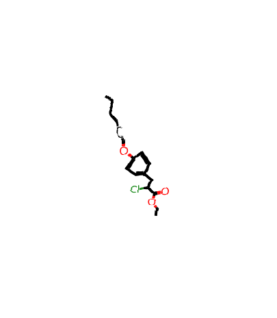 CCCCCCOc1ccc(CC(Cl)C(=O)OCC)cc1